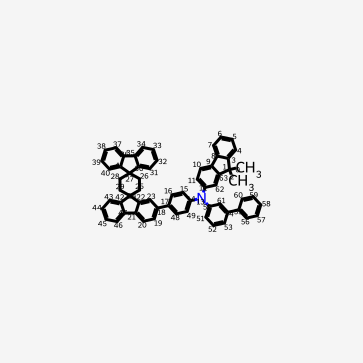 CC1(C)c2ccccc2-c2ccc(N(c3ccc(-c4ccc5c(c4)C4(CCC6(CC4)c4ccccc4-c4ccccc46)c4ccccc4-5)cc3)c3cccc(-c4ccccc4)c3)cc21